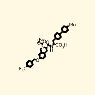 CC(C)(C)OC(=O)N1Cc2cc(OCc3ccc(C(F)(F)F)cc3)ccc2C[C@H]1C(=O)N[C@@H](Cc1ccc(-c2ccc(C(C)(C)C)cc2)cc1)C(=O)O